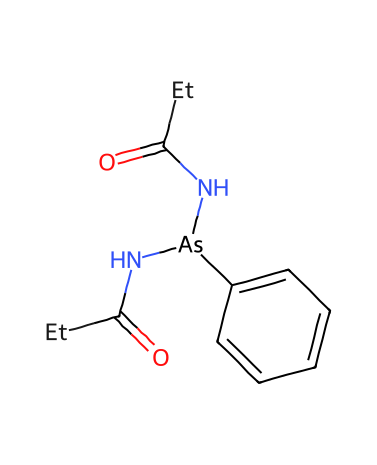 CCC(=O)N[As](NC(=O)CC)c1ccccc1